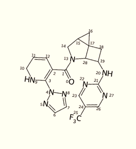 O=C(C1=C(n2nccn2)NCC=C1)N1CC2CC23CC(Nc2ncc(C(F)(F)F)cn2)C13